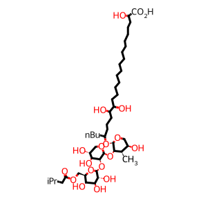 CCCCC(CCCC(O)C(O)CCCCCCCCCCCCCCC(O)C(=O)O)O[C@@H]1OC[C@@H](O)[C@H](C)[C@H]1O[C@@H]1OC[C@@H](O)[C@H](O)[C@H]1O[C@@H]1O[C@H](COC(=O)CC(C)C)[C@@H](O)[C@H](O)[C@H]1O